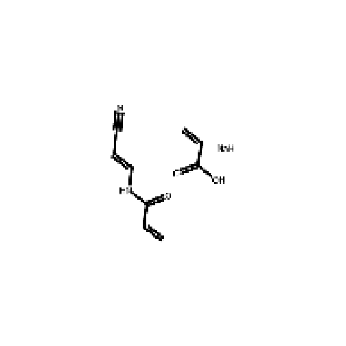 C=CC(=O)NC=CC#N.C=CC(=O)O.[NaH]